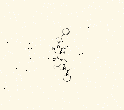 CC(C)CC(NC(=O)Oc1ccc(-c2ccccc2)s1)C(=O)N1CCC2C1C(=O)CN2C(=O)N1CCCCC1